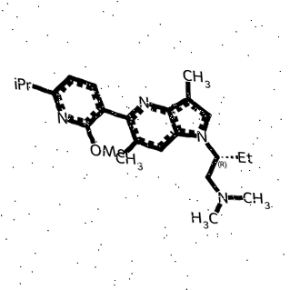 CC[C@H](CN(C)C)n1cc(C)c2nc(-c3ccc(C(C)C)nc3OC)c(C)cc21